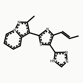 CC=Cc1nc(-c2c(C)nn3ccccc23)sc1-c1nnc[nH]1